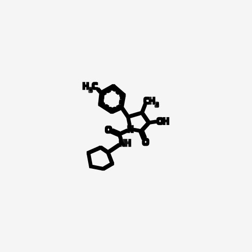 Cc1ccc(C2C(C)C(O)C(=O)N2C(=O)NC2CCCCC2)cc1